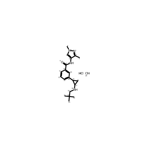 Cc1nn(C)cc1NC(=O)c1cccc(C2CC2NCC(C)(C)C)c1.Cl.Cl